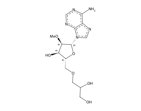 CO[C@@H]1[C@H](O)[C@@H](COCC(O)CO)O[C@H]1n1cnc2c(N)ncnc21